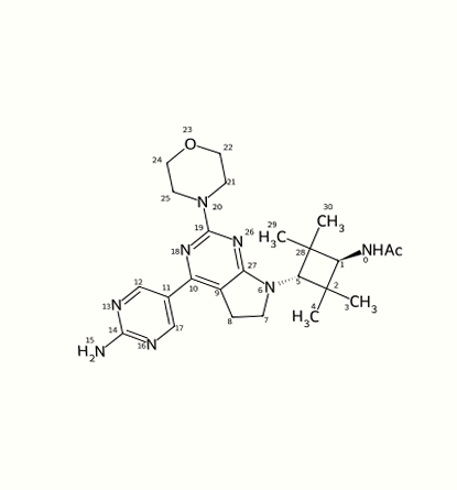 CC(=O)N[C@H]1C(C)(C)[C@H](N2CCc3c(-c4cnc(N)nc4)nc(N4CCOCC4)nc32)C1(C)C